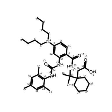 CCCCN(CCCC)c1ccc(C(=O)N[C@H](C(=O)O)C2(C(C)(C)C)CCCCC2)c(NC(=O)Nc2c(C)cc(C)cc2C)c1